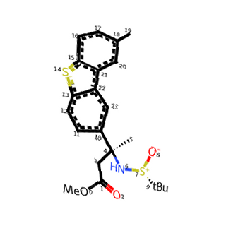 COC(=O)C[C@](C)(N[S@+]([O-])C(C)(C)C)c1ccc2sc3ccc(C)cc3c2c1